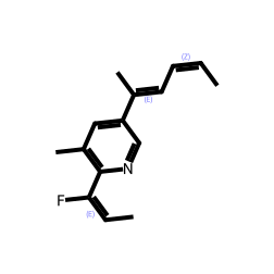 C/C=C\C=C(/C)c1cnc(/C(F)=C\C)c(C)c1